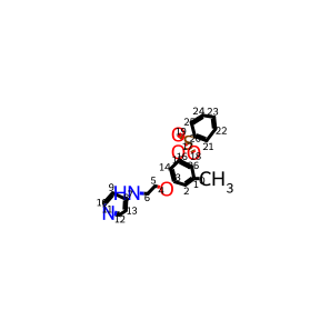 Cc1cc(OCCNc2ccncc2)cc(OS(=O)(=O)c2ccccc2)c1